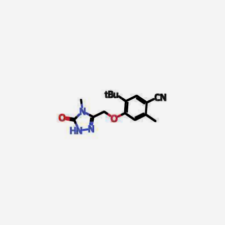 Cc1cc(OCc2n[nH]c(=O)n2C)c(C(C)(C)C)cc1C#N